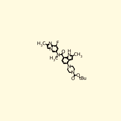 Cc1cn2cc(N(C)C(=O)c3ccc(N4CCN(C(=O)OC(C)(C)C)CC4)c4cc(C)[nH]c34)cc(F)c2n1